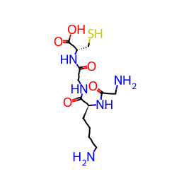 NCCCC[C@H](NC(=O)CN)C(=O)NCC(=O)N[C@@H](CS)C(=O)O